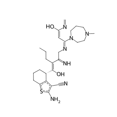 C=N/C(O)=C\C(=N/CC(=N)/C(CCC)=C(\O)[C@H]1CCCc2sc(N)c(C#N)c21)N1CCCN(C)CC1